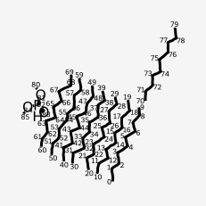 CCCCCCCCCC.CCCCCCCCCC.CCCCCCCCCC.CCCCCCCCCC.CCCCCCCCCC.CCCCCCCCCC.CCCCCCCCCC.CCCCCCCCCC.CO[PH](=O)OC